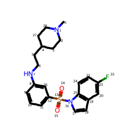 CN1CCC(CCNc2cccc(S(=O)(=O)n3ccc4cc(F)ccc43)c2)CC1